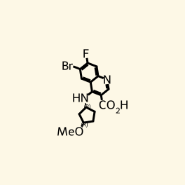 CO[C@@H]1CC[C@@H](Nc2c(C(=O)O)cnc3cc(F)c(Br)cc23)C1